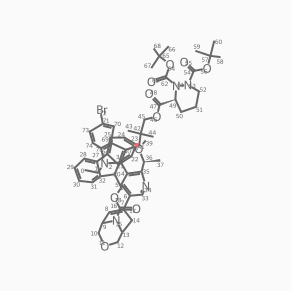 CCn1c(-c2cc(C3=CC4COCC(C3)N4C(=O)OCC3c4ccccc4-c4ccccc43)cnc2[C@H](C)OC)c(CC(C)(C)COC(=O)[C@@H]2CCCN(C(=O)OC(C)(C)C)N2C(=O)OC(C)(C)C)c2cc(Br)ccc21